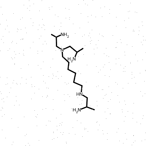 CC(N)CNCCCCCCN(CC(C)N)CC(C)N